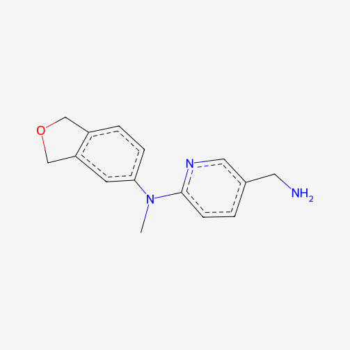 CN(c1ccc2c(c1)COC2)c1ccc(CN)cn1